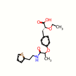 CCO[C@H](Cc1ccc(OC(C)C(=O)NCCc2cccs2)cc1)C(=O)O